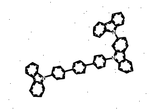 c1ccc2c(c1)c1ccccc1n2-c1ccc(-c2ccc(-c3ccc(-n4c5ccccc5c5ccc(-n6c7ccccc7c7ccccc76)cc54)cc3)cc2)cc1